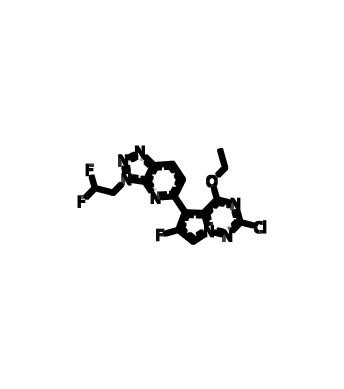 CCOc1nc(Cl)nn2cc(F)c(-c3ccc4nnn(CC(F)F)c4n3)c12